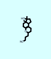 CC1(O)CCC2C3=C(CCC21C)OC(CCCC#N)CC3